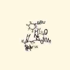 CNC(=O)[C@H](Cc1ccccc1C(C)(C)C)NC(=O)[C@H](CC(C)C)NC(C)S